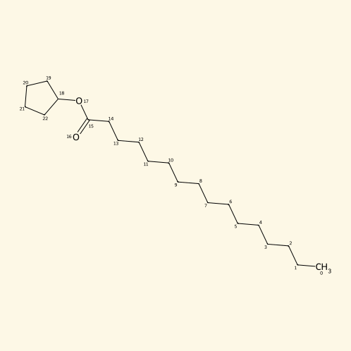 CCCCCCCCCCCCCCCC(=O)OC1CCCC1